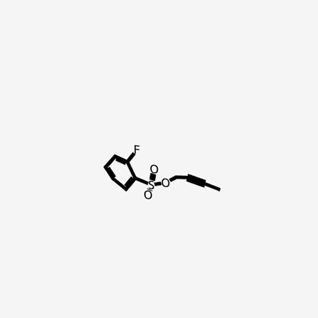 CC#CCOS(=O)(=O)c1ccccc1F